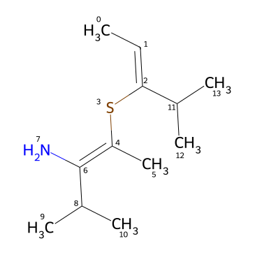 C/C=C(\S/C(C)=C(\N)C(C)C)C(C)C